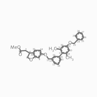 COC(=O)CC1COc2cc(OCc3cccc(-c4c(C)cc(OCc5ccccc5)cc4C)c3)ccc21